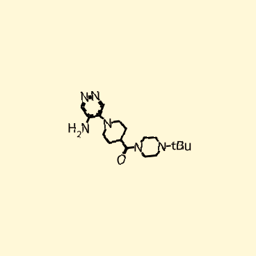 CC(C)(C)N1CCN(C(=O)C2CCN(c3cnncc3N)CC2)CC1